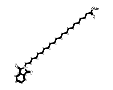 COC(=O)CCCCCCCCCCCCCCCCCCCCCN1C(=O)c2ccccc2C1=O